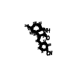 N#Cc1ccc(C=C2C(=O)Nc3ccc(I)cc32)cc1